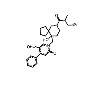 CC(C)CC(C)C(=O)N1CCC(O)(Cn2cc(C=O)c(-c3ccccc3)cc2=O)C2(CCCC2)C1